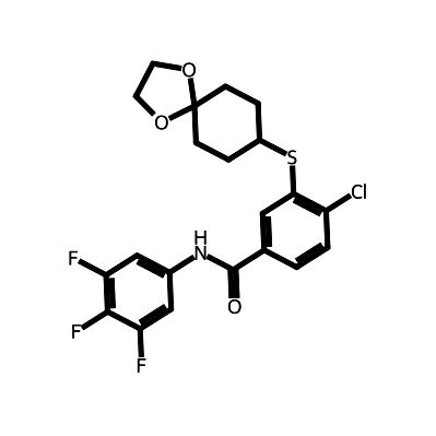 O=C(Nc1cc(F)c(F)c(F)c1)c1ccc(Cl)c(SC2CCC3(CC2)OCCO3)c1